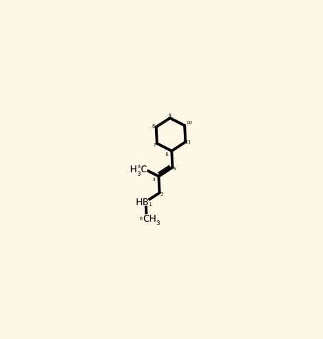 CBC/C(C)=C/C1CCCCC1